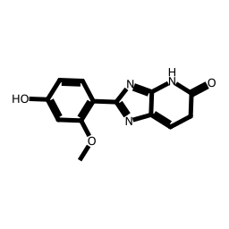 COc1cc(O)ccc1C1=NC2=CCC(=O)NC2=N1